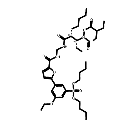 CCCCC[C@@H](C(=O)NCNC(=O)c1ccc(-c2cc(OCC)cc(P(=O)(OCCCC)OCCCC)c2)o1)[C@@H](CC)N(C=O)OC(=O)C(CC)CC